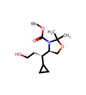 CC(C)(C)OC(=O)N1[C@H]([C@@H](CCO)C2CC2)COC1(C)C